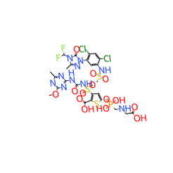 COc1nc(C)nc(NC(=O)NS(=O)(=O)c2ccsc2C(=O)O)n1.Cc1nn(-c2cc(NS(C)(=O)=O)c(Cl)cc2Cl)c(=O)n1C(F)F.O=C(O)CNCP(=O)(O)O